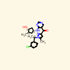 Cc1cc(C(=O)c2cncnc2N[C@@H]2C[C@@H](C)[C@H](O)C2)nn1[C@H](C)c1cccc(Cl)c1